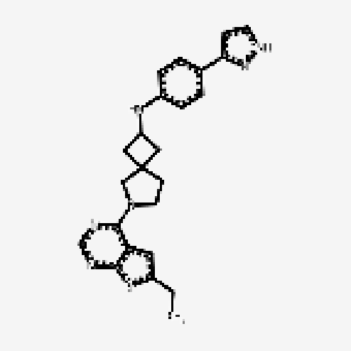 FC(F)(F)Cc1cc2c(N3CCC4(CC(Nc5ccc(-c6cc[nH]n6)cc5)C4)C3)ncnc2s1